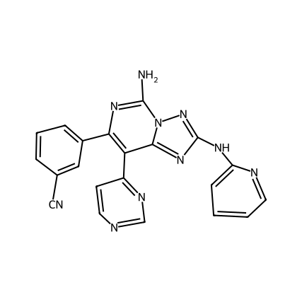 N#Cc1cccc(-c2nc(N)n3nc(Nc4ccccn4)nc3c2-c2ccncn2)c1